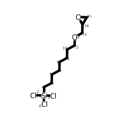 Cl[Si](Cl)(Cl)CCCCCCCCOCC1CO1